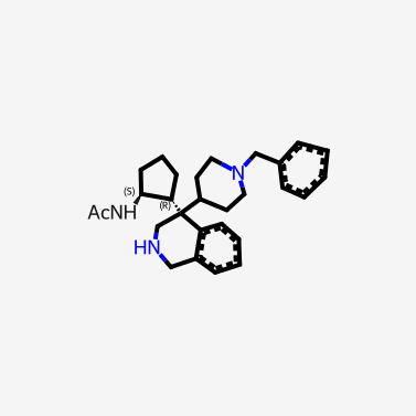 CC(=O)N[C@H]1CCC[C@@H]1C1(C2CCN(Cc3ccccc3)CC2)CNCc2ccccc21